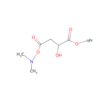 CCCOC(=O)C(O)CC(=O)ON(C)C